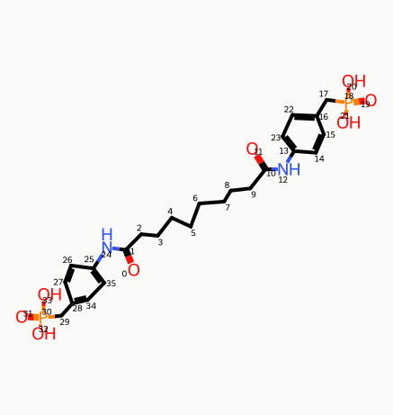 O=C(CCCCCCCCC(=O)Nc1ccc(CP(=O)(O)O)cc1)Nc1ccc(CP(=O)(O)O)cc1